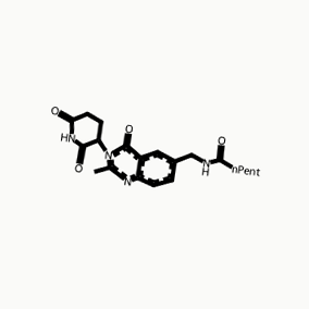 CCCCCC(=O)NCc1ccc2nc(C)n(C3CCC(=O)NC3=O)c(=O)c2c1